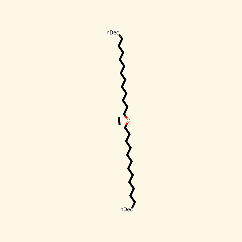 CC.CCCCCCCCCCCCCCCCCCCCCCOCCCCCCCCCCCCCCCCCCCCCC